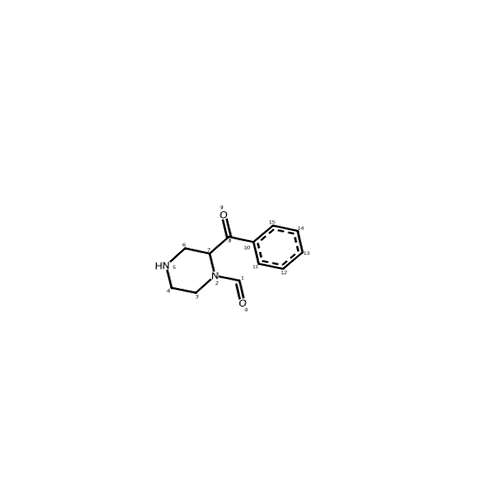 O=CN1CCNCC1C(=O)c1ccccc1